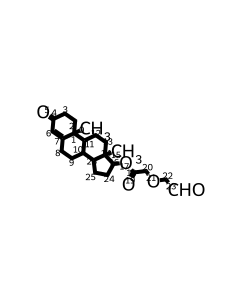 CC12CCC(=O)C=C1CCC1C2CCC2(C)C(OC(=O)COCC=O)CCC12